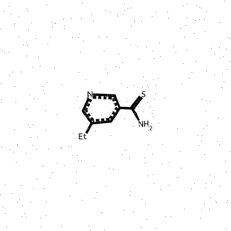 CCc1cncc(C(N)=S)c1